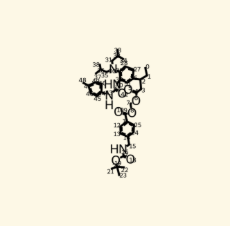 CCC(CC(=O)OCOC(=O)c1ccc(CNC(=O)OC(C)(C)C)cc1)c1ccc(N(CC(C)C)CC(C)C)c(NC(=O)Nc2ccc(C)cc2)c1